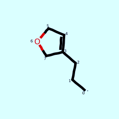 [CH2]CCC1=CCOC1